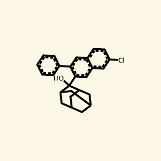 OC1(c2cc3cc(Cl)ccc3cc2-c2ccccc2)C2CC3CC(C2)CC1C3